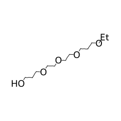 CCOCCCOCCOCCOCCCO